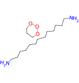 C1COOOC1.NCCCCCCCCCCCCCN